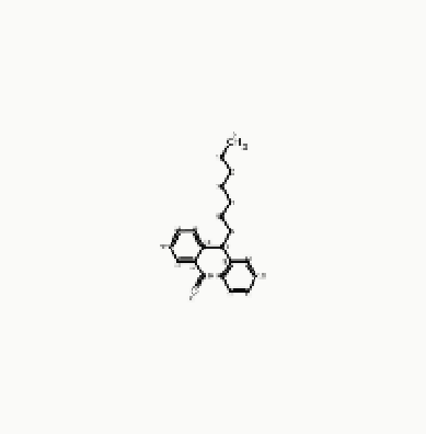 CCCCCCCC(c1ccccc1)c1ccccc1C=O